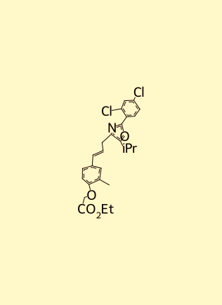 CCOC(=O)COc1ccc(C=CCc2nc(-c3ccc(Cl)cc3Cl)oc2C(C)C)cc1C